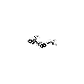 N=C(N)NCCCOc1ccc2ccc(NC(=O)NCC(NS(=O)(=O)c3ccccc3)C(=O)OC(=O)C(F)(F)F)c(=O)n2c1